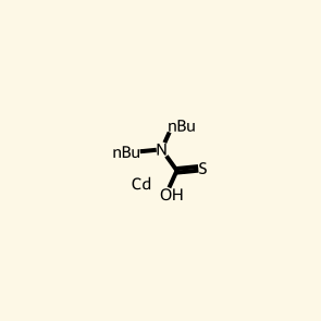 CCCCN(CCCC)C(O)=S.[Cd]